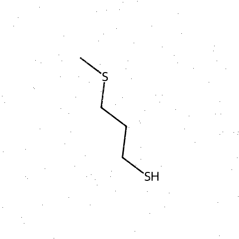 CSCCCS